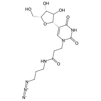 [N-]=[N+]=NCCCNC(=O)CCn1cc([C@@H]2O[C@H](CO)[C@H](O)C2O)c(=O)[nH]c1=O